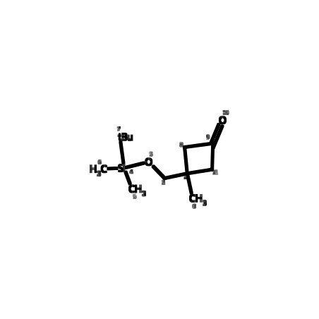 CC1(CO[Si](C)(C)C(C)(C)C)CC(=O)C1